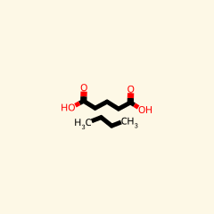 CCCC.O=C(O)CCCC(=O)O